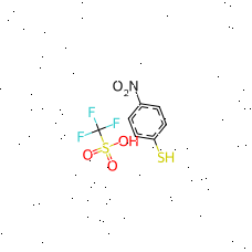 O=S(=O)(O)C(F)(F)F.O=[N+]([O-])c1ccc(S)cc1